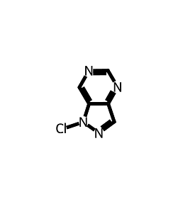 Cln1ncc2ncncc21